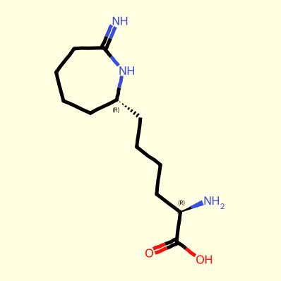 N=C1CCCC[C@@H](CCCC[C@@H](N)C(=O)O)N1